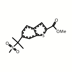 COC(=O)c1cc2ccc(C(C)(C)S(C)(=O)=O)cc2s1